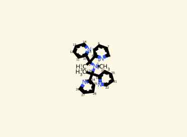 CN(C(C)(c1ccccn1)c1ccccn1)C(C)(c1ccccn1)c1ccccn1